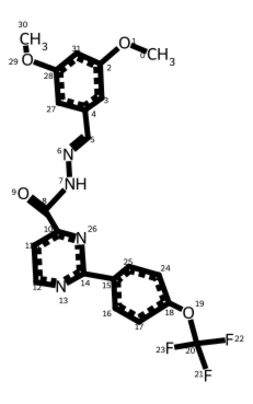 COc1cc(C=NNC(=O)c2ccnc(-c3ccc(OC(F)(F)F)cc3)n2)cc(OC)c1